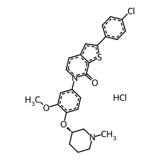 COc1cc(-n2ccc3cc(-c4ccc(Cl)cc4)sc3c2=O)ccc1O[C@@H]1CCCN(C)C1.Cl